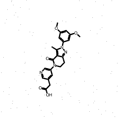 COc1cc(OC)cc(-n2nc3c(c2C)C(=O)N(c2cncc(CC(=O)O)c2)CC3)c1